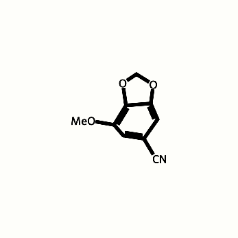 COc1cc(C#N)cc2c1OCO2